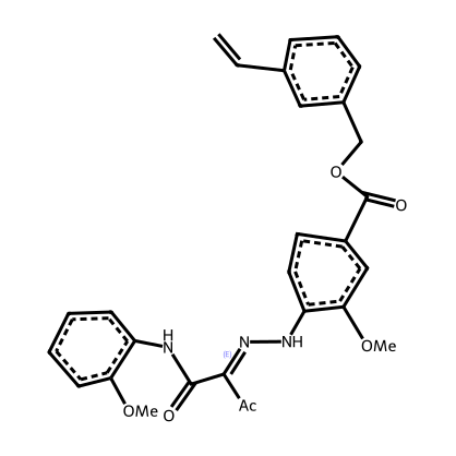 C=Cc1cccc(COC(=O)c2ccc(N/N=C(\C(C)=O)C(=O)Nc3ccccc3OC)c(OC)c2)c1